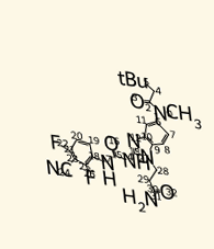 CN(C(=O)CC(C)(C)C)c1ccc2c(c1)nc(NC(=O)Nc1ccc(F)c(C#N)c1F)n2CCC(N)=O